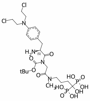 CN(CCCC(O)(P(=O)(O)O)P(=O)(O)O)C(=O)CN(C(=O)OC(C)(C)C)C(=O)[C@@H](N)Cc1ccc(N(CCCl)CCCl)cc1